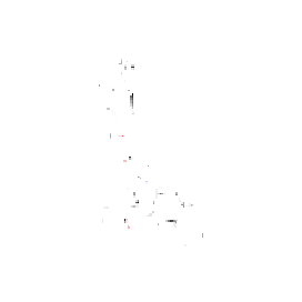 CCCCCCCCc1ccc(OCC(=O)Cn2cc(C(=O)C(F)(F)F)c3cc(C(=O)O)ccc32)cc1